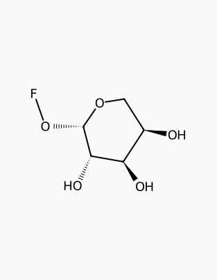 O[C@@H]1[C@H](OF)OC[C@@H](O)[C@H]1O